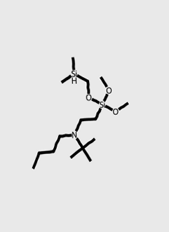 CCCCN(CC[Si](OC)(OC)OC[SiH](C)C)C(C)(C)C